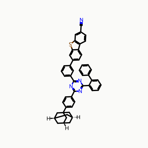 N#Cc1ccc2c(c1)sc1cc(-c3cccc(-c4nc(-c5ccc(C67C[C@H]8C[C@H](C6)C[C@@H](C7)C8)cc5)nc(-c5ccccc5-c5ccccc5)n4)c3)ccc12